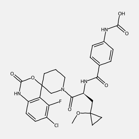 COC1(C[C@H](NC(=O)c2ccc(NC(=O)O)cc2)C(=O)N2CCCC3(C2)OC(=O)Nc2ccc(Cl)c(F)c23)CC1